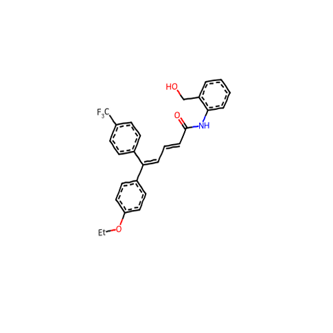 CCOc1ccc(C(=CC=CC(=O)Nc2ccccc2CO)c2ccc(C(F)(F)F)cc2)cc1